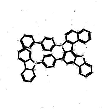 C1=CC2c3ccccc3N(c3ccc(-c4cc5c6ccccc6oc5c5c6c7ccccc7ccc6n(-c6ccc(-c7ccccc7)cc6)c45)cc3)C2C=C1